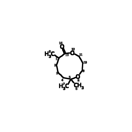 CC1CCCC(C)(C)OCCCOC1=O